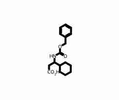 O=C(O)CC(NC(=O)OCc1ccccc1)C1CCCCC1